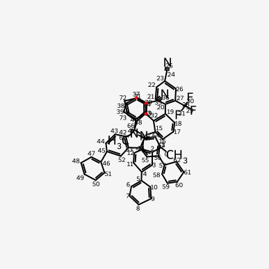 CCc1cc(-c2ccccc2)ccc1N(c1cccc(-c2ccc(C#N)cc2C(F)(F)F)c1-c1c(C#N)cccc1-n1c2ccc(-c3ccccc3)cc2c2cc(-c3ccccc3)ccc21)C(C)c1ccccc1